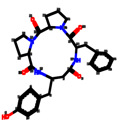 O=C1CC(Cc2ccc(O)cc2)NC(=O)C2CCCN2C(=O)C2CCCN2C(=O)C(Cc2ccccc2)N1